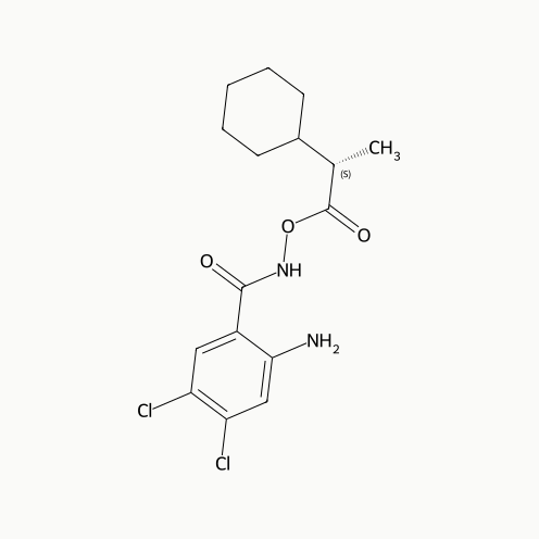 C[C@H](C(=O)ONC(=O)c1cc(Cl)c(Cl)cc1N)C1CCCCC1